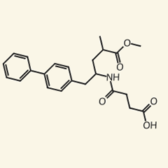 COC(=O)C(C)CC(Cc1ccc(-c2ccccc2)cc1)NC(=O)CCC(=O)O